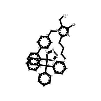 CCCCc1nc(Cl)c(CO)n1Cc1ccc(-c2ccccc2C2(C(c3ccccc3)(c3ccccc3)c3ccccc3)N=NN=N2)cc1